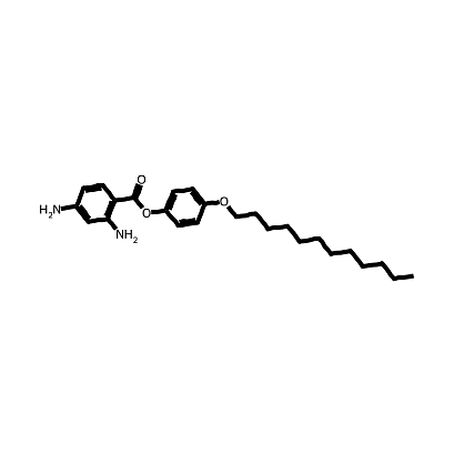 CCCCCCCCCCCCOc1ccc(OC(=O)c2ccc(N)cc2N)cc1